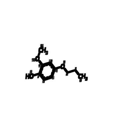 CCCOc1ccc(O)c(OC)c1